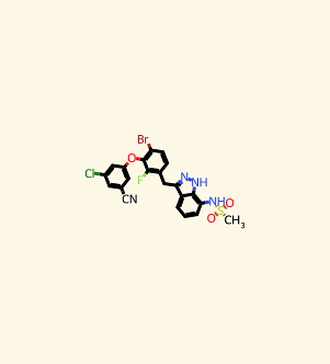 CS(=O)(=O)Nc1cccc2c(Cc3ccc(Br)c(Oc4cc(Cl)cc(C#N)c4)c3F)n[nH]c12